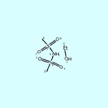 CCO.CS(=O)(=O)NS(C)(=O)=O